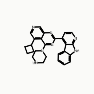 c1ccc2c(c1)[nH]c1nccc(-c3nc(N4CCNCC4)c4c(C5CCC5)cncc4n3)c12